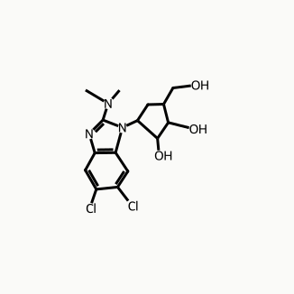 CN(C)c1nc2cc(Cl)c(Cl)cc2n1C1CC(CO)C(O)C1O